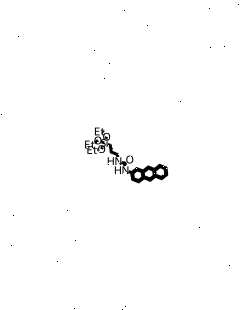 CCO[Si](CCCNC(=O)Nc1ccc2cc3ccccc3cc2c1)(OCC)OCC